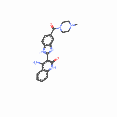 CN1CCN(C(=O)c2ccc3[nH]c(-c4c(N)c5ccccc5[nH]c4=O)nc3c2)CC1